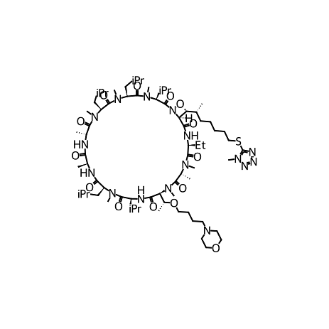 CC[C@@H]1NC(=O)[C@@H]2[C@@H]([C@H](C)CCCCCSc3nnnn3C)ON2C(=O)[C@H](C(C)C)N(C)C(=O)[C@H](CC(C)C)N(C)C(=O)[C@H](CC(C)C)N(C)C(=O)[C@@H](C)NC(=O)[C@H](C)NC(=O)[C@H](CC(C)C)N(C)C(=O)[C@H](C(C)C)NC(=O)[C@H]([C@@H](C)OCCCCN2CCOCC2)N(C)C(=O)[C@@H](C)N(C)C1=O